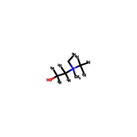 [2H]C[N+](C)(C([2H])([2H])[2H])C([2H])([2H])C([2H])([2H])O